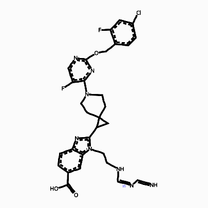 N=C/N=C\NCCn1c(C2CC23CCN(c2nc(OCc4ccc(Cl)cc4F)ncc2F)CC3)nc2ccc(C(=O)O)cc21